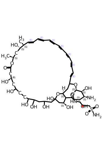 C[C@H]1C[C@H](O)[C@@H](C)/C=C/C=C/C=C/C=C/C=C/C=C/C=C/C(O[C@@H]2OC[C@@H](O)[C@H](N)[C@@H]2O)C[C@@H]2OC(O)(CC(O)CC(O)C(O)CCC(O)C[C@@H](O)CC(=O)O1)C[C@H](O)C2C(=O)NCCCS(N)(=O)=O